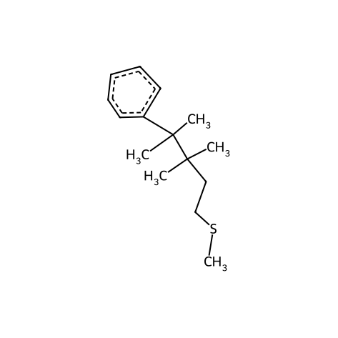 CSCCC(C)(C)C(C)(C)c1ccccc1